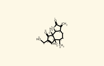 C=C1C(=O)OC2C1CCC(C)C1(O)C=C(CO)C(=O)C21C